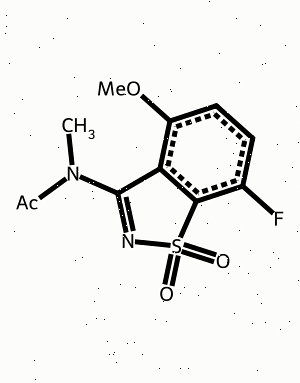 COc1ccc(F)c2c1C(N(C)C(C)=O)=NS2(=O)=O